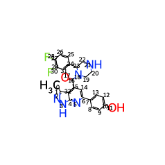 Cc1n[nH]c2nc(-c3ccc(O)cc3)cc(C(=O)N3CCNCC3c3ccc(F)c(F)c3)c12